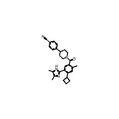 Cc1cc(C2CCC2)c(-c2nc(C)c(C)[nH]2)cc1C(=O)N1CCC(c2ccc(C#N)cc2)CC1